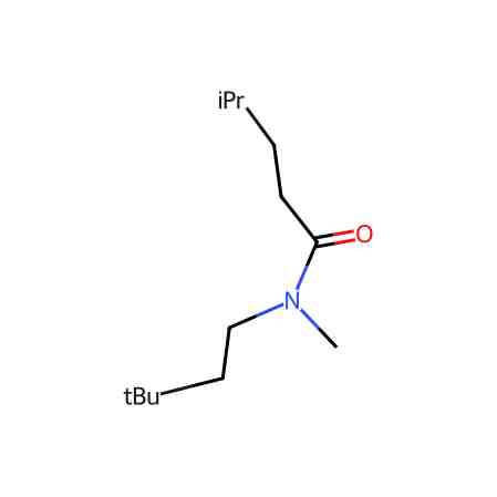 CC(C)CCC(=O)N(C)CCC(C)(C)C